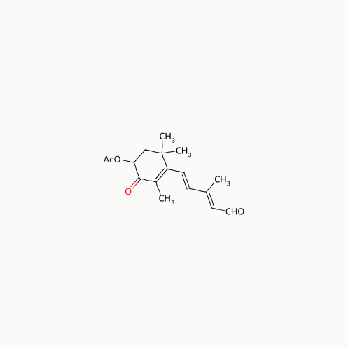 CC(=O)OC1CC(C)(C)C(/C=C/C(C)=C/C=O)=C(C)C1=O